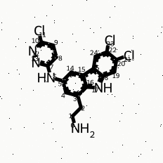 NCCc1cc(Nc2ccc(Cl)nn2)cc2c1[nH]c1cc(Cl)c(Cl)cc12